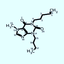 C=CCCCn1c(=O)c2c(ncn2C)n(CCCC)c1=O